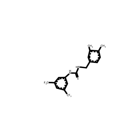 Cc1ccc(CNC(=S)Nc2cc(C(F)(F)F)cc(C(F)(F)F)c2)cc1C